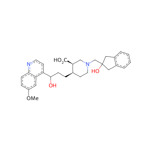 COc1ccc2nccc(C(O)CC[C@@H]3CCN(CC4(O)Cc5ccccc5C4)C[C@@H]3C(=O)O)c2c1